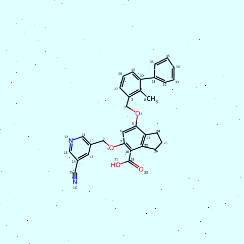 Cc1c(COc2cc(OCc3cncc(C#N)c3)c(C(=O)O)c3c2CCC3)cccc1-c1ccccc1